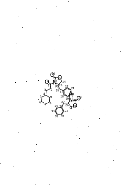 O=C(CCC1CCCCC1)N1C(=O)OC[C@H]1Cc1ccccc1.O=C1NC(Cc2ccccc2)CO1